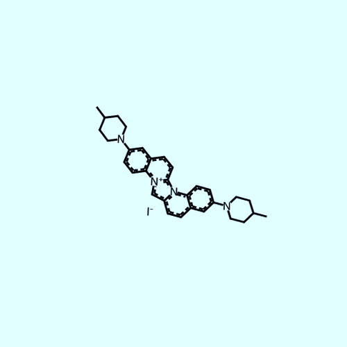 CC1CCN(c2ccc3c(ccc4c[n+]5c6ccc(N7CCC(C)CC7)cc6ccc5n43)c2)CC1.[I-]